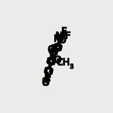 COc1cc(C2CCN(C3COC3)CC2)ccc1N(C=O)Cc1ccc(-c2nnc(C(F)F)o2)cn1